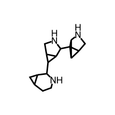 C1CC2CC2C(C2C3CNC(C45C6CNC4C65)C32)N1